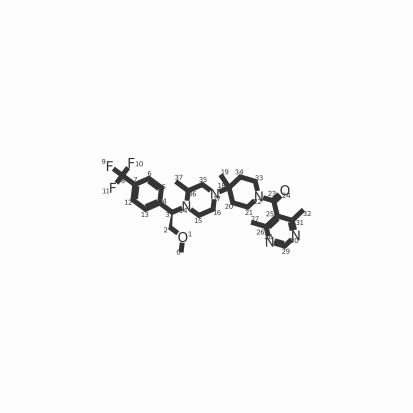 COC[C@@H](c1ccc(C(F)(F)F)cc1)N1CCN(C2(C)CCN(C(=O)c3c(C)ncnc3C)CC2)CC1C